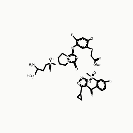 COC(=O)CSc1cc(/N=c2\sc(=O)n3n2CCCC3)c(F)cc1Cl.CP(=O)(O)CCC(N)C(=O)O.CS(=O)(=O)c1cc(Cl)ccc1C(=O)c1cnoc1C1CC1